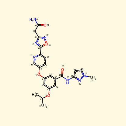 CC(C)Oc1cc(Oc2ccc(-c3nc(CC(N)=O)no3)nc2)cc(C(=O)Nc2ccn(C)n2)c1